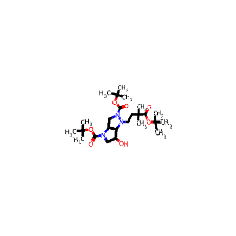 CC(C)(C)OC(=O)N1CC(O)C2C1CN(C(=O)OC(C)(C)C)N2CCC(C)(C)C(=O)OC(C)(C)C